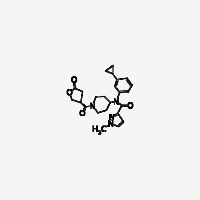 Cn1ccc(C(=O)N(c2cccc(C3CC3)c2)C2CCN(C(=O)[C@H]3COC(=O)C3)CC2)n1